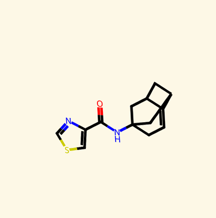 O=C(NC12CC=C3C(CC3C1)C2)c1cscn1